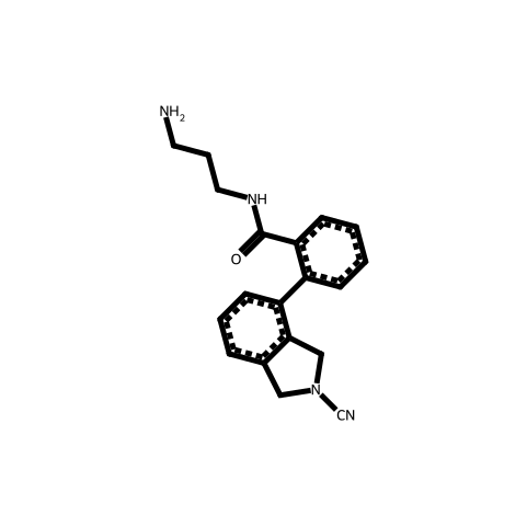 N#CN1Cc2cccc(-c3ccccc3C(=O)NCCCN)c2C1